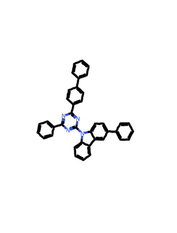 c1ccc(-c2ccc(-c3nc(-c4ccccc4)nc(-n4c5ccccc5c5cc(-c6ccccc6)ccc54)n3)cc2)cc1